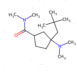 CN(C)C(=O)C1CCC(CC(C)(C)C)(N(C)C)C1